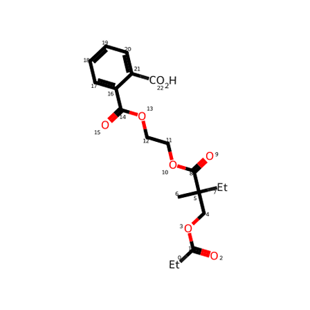 CCC(=O)OCC(C)(CC)C(=O)OCCOC(=O)c1ccccc1C(=O)O